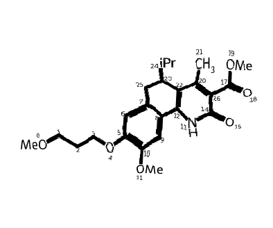 COCCCOc1cc2c(cc1OC)-c1[nH]c(=O)c(C(=O)OC)c(C)c1C(C(C)C)C2